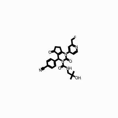 CC(C)(O)CNC(=O)N1C(=O)N(c2ccnc(CF)c2)C2=C(C(=O)CC2)C1c1ccc(C#N)cc1